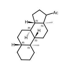 CC(=O)C1CC[C@H]2[C@@H]3CC[C@H]4CCCC[C@]4(C)[C@H]3CC[C@]12C